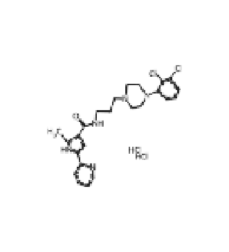 Cc1[nH]c(-c2ccccn2)cc1C(=O)NCCCN1CCN(c2cccc(Cl)c2Cl)CC1.Cl.Cl